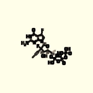 CC#CC1(F)[C@@H](O)[C@@H]([C@H](C)OP(=O)(O)OP(=O)(O)OP(=O)(O)O)O[C@H]1n1cc(F)c2c(=O)[nH]c(N)nc21